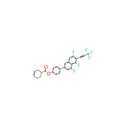 O=C(Oc1ccc(-c2cc(F)c3c(F)c(C#CC(F)(F)F)c(F)cc3c2)cc1)C1CC=CCC1